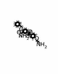 NCCOc1ccc(S(=O)(=O)c2ccc(OCc3ccccc3)c(C(N)=O)c2)cc1